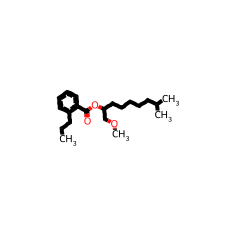 CCCc1ccccc1C(=O)OC(CCCCCC(C)C)COC